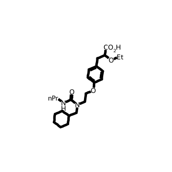 CCCNC(=O)N(CCOc1ccc(CC(OCC)C(=O)O)cc1)CC1CCCCC1